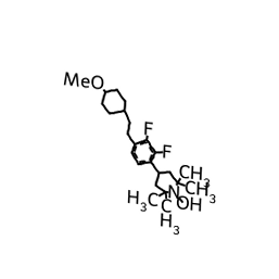 COC1CCC(CCc2ccc(C3CC(C)(C)N(O)C(C)(C)C3)c(F)c2F)CC1